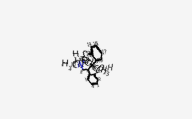 Cc1ccccc1C(CN(C)C)C(C)(C(=O)O)c1ccccc1C